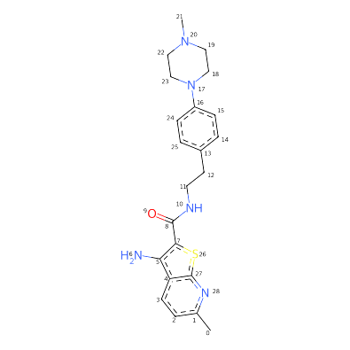 Cc1ccc2c(N)c(C(=O)NCCc3ccc(N4CCN(C)CC4)cc3)sc2n1